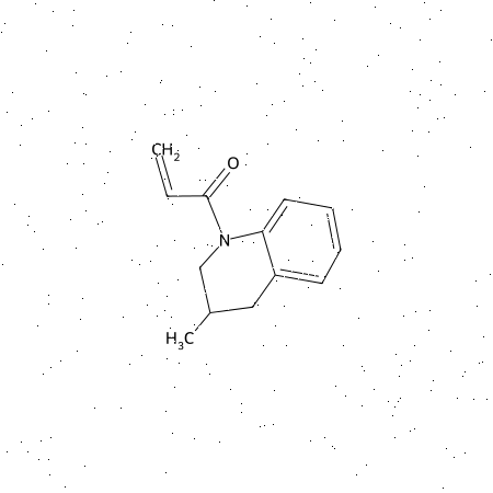 C=CC(=O)N1CC(C)Cc2ccccc21